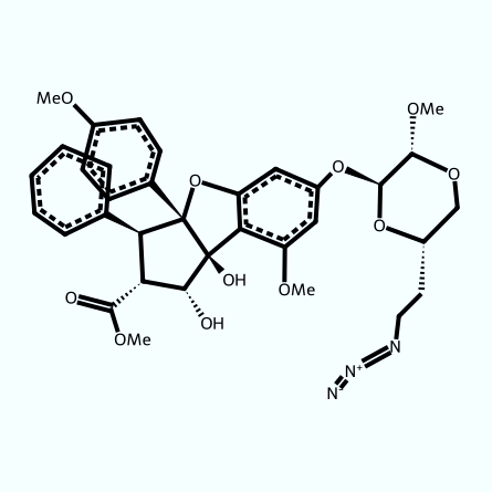 COC(=O)[C@H]1[C@@H](O)[C@@]2(O)c3c(OC)cc(O[C@@H]4O[C@@H](CCN=[N+]=[N-])CO[C@H]4OC)cc3O[C@@]2(c2ccc(OC)cc2)[C@@H]1c1ccccc1